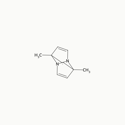 CC12C=CN3N1C=CC3(C)C=C2